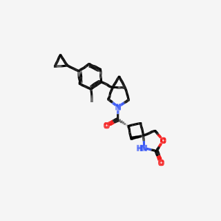 Cc1cc(C2CC2)ccc1C12CC1CN(C(=O)[C@H]1C[C@]3(COC(=O)N3)C1)C2